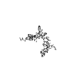 CC1CN(c2ccc3c(c2)CN(C2CCC(=O)N(COCC[Si](C)(C)C)C2=O)C3=O)C(=O)N1c1ccc(C(F)(F)F)nc1